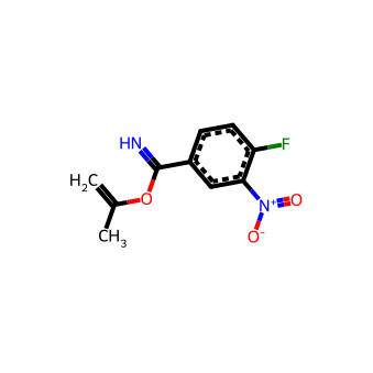 C=C(C)OC(=N)c1ccc(F)c([N+](=O)[O-])c1